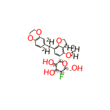 [2H]C([2H])([2H])Oc1c([C@@H]2O[C@H](CO)[C@@H](F)[C@H](O)[C@H]2O)cc(C([2H])([2H])c2ccc3c(c2)OCCO3)c2c1CCO2